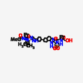 COC(=O)N[C@H](C(=O)N1C[Si](C)(C)C[C@H]1c1ncc(-c2ccc(-c3ccc4c(ccc5nc([C@@H]6CS(=O)(=O)CCN6C(=O)[C@@H](NC(=O)CO)C(C)C)[nH]c54)c3)cc2)[nH]1)C(C)C